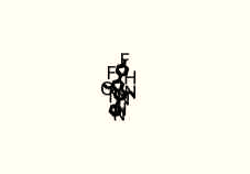 CNc1nc(-c2cccnn2)nc2c(OC)cc(-c3ccc(F)cc3F)cc12